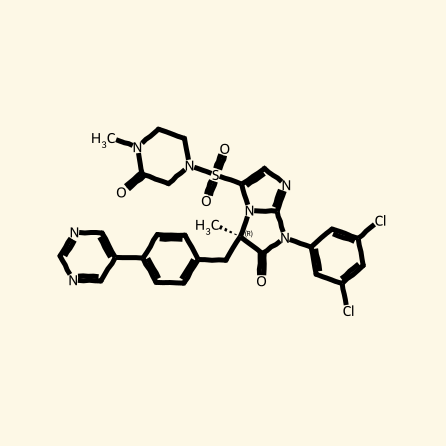 CN1CCN(S(=O)(=O)c2cnc3n2[C@](C)(Cc2ccc(-c4cncnc4)cc2)C(=O)N3c2cc(Cl)cc(Cl)c2)CC1=O